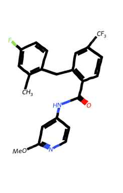 COc1cc(NC(=O)c2ccc(C(F)(F)F)cc2Cc2ccc(F)cc2C)ccn1